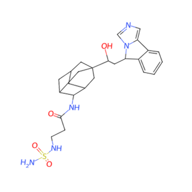 NS(=O)(=O)NCCC(=O)NC1C2CC3CC1CC(C(O)CC1c4ccccc4-c4cncn41)(C3)C2